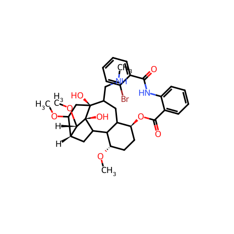 CNCC1CC2C(C3C[C@@H]4C(OC)C[C@@]1(O)[C@@]3(O)[C@H]4OC)[C@@H](OC)CC[C@@H]2OC(=O)c1ccccc1NC(=O)c1ccccc1Br